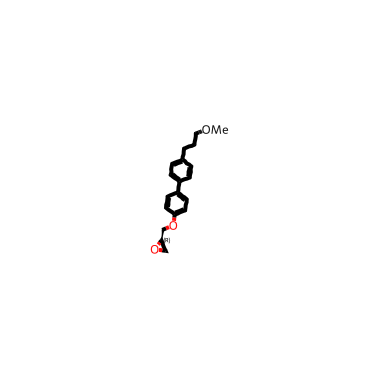 COCCCc1ccc(-c2ccc(OC[C@H]3CO3)cc2)cc1